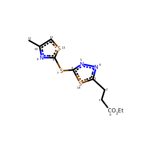 CCOC(=O)CCc1nnc(Sc2nc(C)cs2)s1